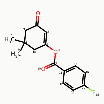 CC1(C)CC(=O)C=C(OC(=O)c2ccc(F)cc2)C1